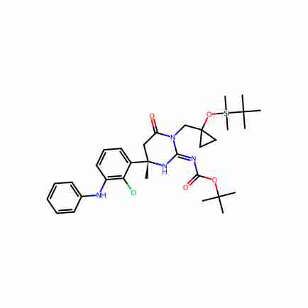 CC(C)(C)OC(=O)N=C1N[C@](C)(c2cccc(Nc3ccccc3)c2Cl)CC(=O)N1CC1(O[Si](C)(C)C(C)(C)C)CC1